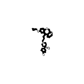 C#CCOc1ccc2c(c1)/C(=C/CCN1CCC(N=O)(c3ccc(Cl)cc3)CC1)c1cccnc1CO2